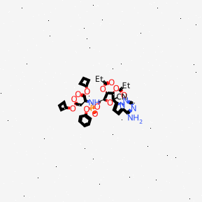 CCC(=O)O[C@H]1[C@@H](OC(=O)CC)[C@](C#N)(c2ccc3c(N)ncnn23)O[C@@H]1CO[P@](=O)(N[C@@H](CC(=O)OC1CCC1)C(=O)OC1CCC1)Oc1ccccc1